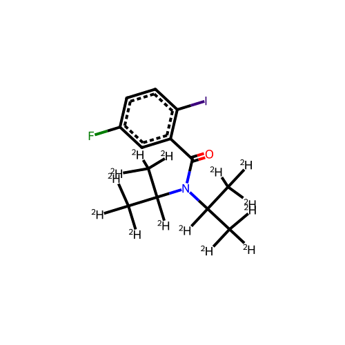 [2H]C([2H])([2H])C([2H])(N(C(=O)c1cc(F)ccc1I)C([2H])(C([2H])([2H])[2H])C([2H])([2H])[2H])C([2H])([2H])[2H]